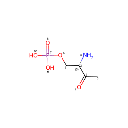 CC(=O)[C@@H](N)COP(=O)(O)O